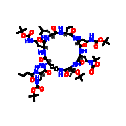 CCCC(=O)N[C@@H](CNC(=O)OC(C)(C)C)C(=O)N[C@H]1CCNC(=O)[C@H]([C@@H](C)OC(C)(C)C)NC(=O)[C@H](CCN2C(=O)OC2(C)C)NC(=O)[C@H](CCNC(=O)OC(C)(C)C)NC(=O)[C@H](CC)NC(=O)[C@@H](CC(C)C)NC(=O)[C@H](CCNC(=O)OC(C)(C)C)NC1=O